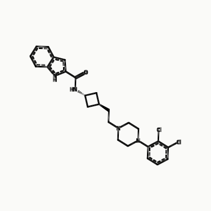 O=C(N[C@H]1C[C@H](CCN2CCN(c3cccc(Cl)c3Cl)CC2)C1)c1cc2ccccc2[nH]1